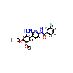 COc1ccc(-c2ccc(NC(=O)c3cccc(F)c3)nc2N)cc1OC